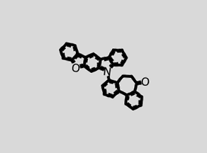 O=C1CCc2c(cccc2-n2c3ccccc3c3cc4c(cc32)oc2ccccc24)-c2ccccc21